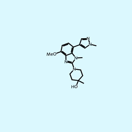 COc1ccc(-c2cnn(C)c2)c2c1nc(N1CCC(C)(O)CC1)n2C